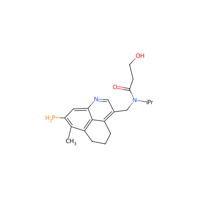 Cc1c(P)cc2ncc(CN(C(=O)CCO)C(C)C)c3c2c1CCC3